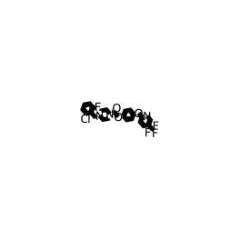 O=C(Oc1ccc(Oc2ccc(C(F)(F)F)cn2)cc1)N1CCN(Cc2c(F)cccc2Cl)CC1